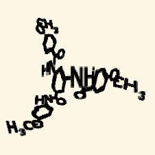 COc1ccc(NC(=O)c2cc(NC(=O)c3ccc(OC)cc3)cc(NC(=O)c3ccc(OC)cc3)c2)cc1